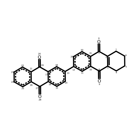 O=C1C2=C(CCCC2)C(=O)c2cc(-c3ccc4c(c3)C(=O)c3ccccc3C4=O)ccc21